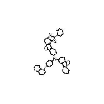 c1ccc(-c2nc3ccc4oc5cc(N(c6ccc(-c7cccc8ccccc78)cc6)c6ccc7oc8ccccc8c7c6)ccc5c4c3s2)cc1